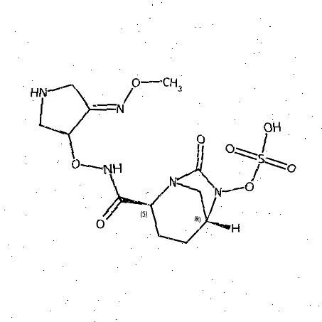 CON=C1CNCC1ONC(=O)[C@@H]1CC[C@@H]2CN1C(=O)N2OS(=O)(=O)O